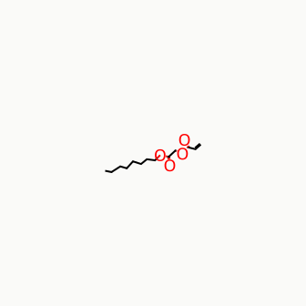 C=CC(=O)OCC(=O)OCCCCCCCC